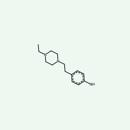 CCN1CCN(CCc2ccc([NH])cc2)CC1